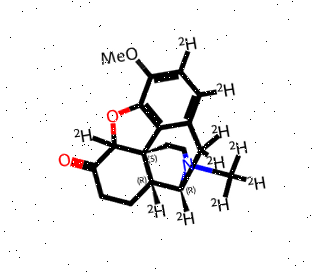 [2H]c1c([2H])c2c3c(c1OC)OC1([2H])C(=O)CC[C@]4([2H])[C@@]31CCN(C([2H])([2H])[2H])[C@]4([2H])C2([2H])[2H]